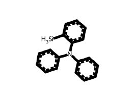 [SiH3]c1ccccc1N(c1ccccc1)c1ccccc1